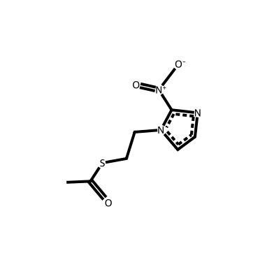 CC(=O)SCCn1ccnc1[N+](=O)[O-]